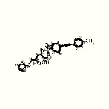 Cc1ccc(C#Cc2ccc(S(=O)(=O)NC(CC(O)CSc3nccs3)C(=O)O)cc2)cc1